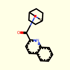 O=C(c1ccc2ccccc2n1)N1CC2CCC(CC2)C1